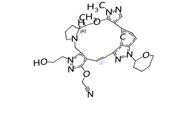 CC1Oc2c(cnn2C)-c2ccc3c(c2)c(nn3C2CCCCO2)/C=C\c2c(OCC#N)nn(CCO)c2CN2CCC[C@H]12